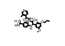 CCCOc1cc(OC)cc(C(Nc2ccc(C(=N)N)cc2)C(=O)NNC(=O)c2ccncc2C)c1F